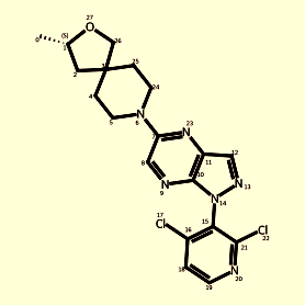 C[C@H]1CC2(CCN(c3cnc4c(cnn4-c4c(Cl)ccnc4Cl)n3)CC2)CO1